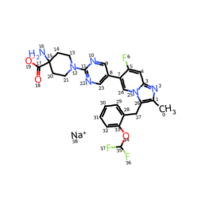 Cc1nc2cc(F)c(-c3cnc(N4CCC(N)(C(=O)[O-])CC4)nc3)cn2c1Cc1ccccc1OC(F)F.[Na+]